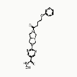 O=C(NO)c1cnc(N2CC3CN(C(=O)CCCOc4ccccc4)CC3C2)nc1